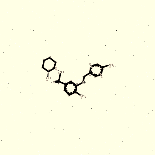 Cc1ccc(C(=O)N[C@H]2CCCC[C@@H]2O)cc1NCc1cnc(N)cn1